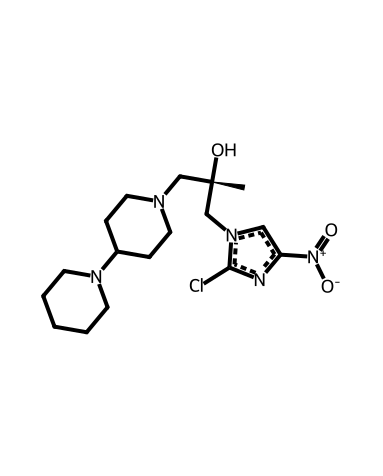 C[C@](O)(CN1CCC(N2CCCCC2)CC1)Cn1cc([N+](=O)[O-])nc1Cl